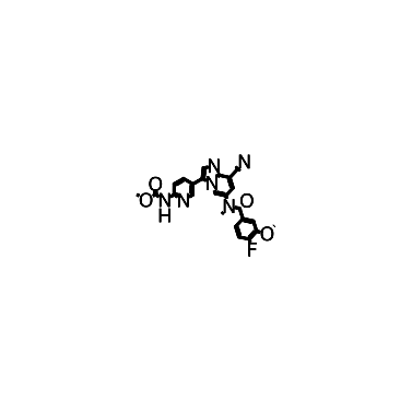 COC(=O)Nc1ccc(-c2cnc3c(C#N)cc(N(C)C(=O)c4ccc(F)c(OC)c4)cn23)cn1